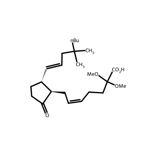 CCCCC(C)(C)C/C=C/[C@H]1CCC(=O)[C@@H]1C/C=C\CCC(OC)(OC)C(=O)O